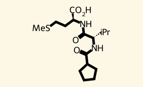 CSCC[C@H](NC(=O)[C@@H](NC(=O)C1CCCC1)C(C)C)C(=O)O